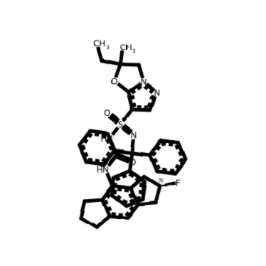 CCC1(C)Cn2ncc(S(=O)(=NC(c3ccccc3)(c3ccccc3)c3ccccc3)NC(=O)Nc3c4c(cc5c3C[C@@H](F)C5)CCC4)c2O1